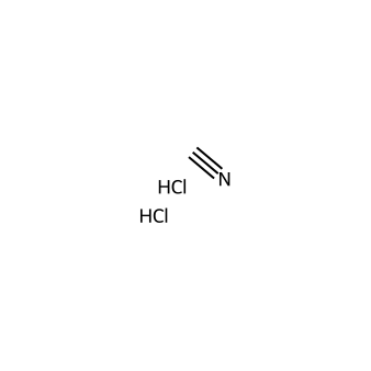 C#N.Cl.Cl